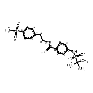 CC(C)(C)S(=O)(=O)Nc1ccc(C(=O)NCCc2ccc(S(N)(=O)=O)cc2)cc1